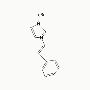 CCCCn1cc[n+](C=Cc2ccccc2)c1